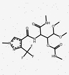 CNC(=O)OC(C(OC)OC)C(NC(=O)c1cn(C)nc1C(F)(F)F)C(=O)NC